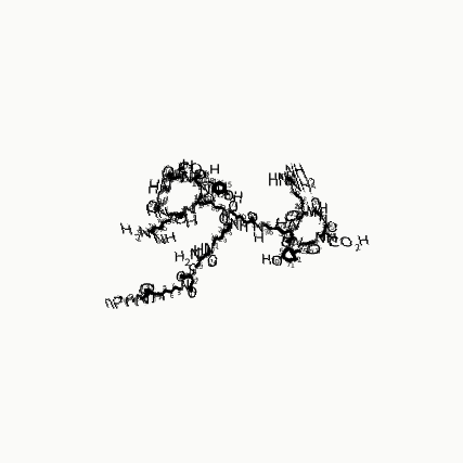 CCCNC(=O)CCCCCN1C(=O)CC(SCC(N)C(=O)NCCCCCC(=O)NC(CCC(=O)NCCCCC2NC(=O)[C@@H](CCCNC(=N)N)NC(=O)CNC(=O)[C@@H](CC(=O)O)NC(=O)[C@H](Cc3ccc(O)cc3)NC2=O)C(=O)NCCCCC2NC(=O)[C@@H](CCCCC(=N)N)NC(=O)CNC(=O)[C@@H](CC(=O)O)NC(=O)[C@H](Cc3ccc(O)cc3)NC2=O)C1=O